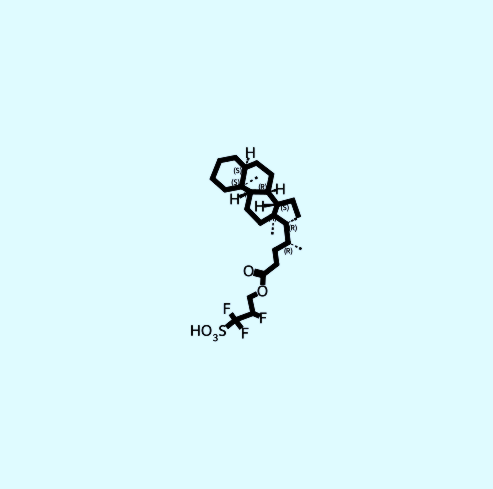 C[C@H](CCC(=O)OCC(F)C(F)(F)S(=O)(=O)O)[C@H]1CC[C@H]2[C@@H]3CC[C@@H]4CCCC[C@]4(C)[C@H]3CC[C@]12C